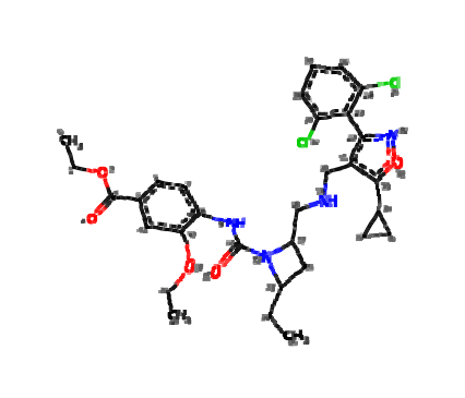 CCOC(=O)c1ccc(NC(=O)N2C(CC)CC2CNCc2c(-c3c(Cl)cccc3Cl)noc2C2CC2)c(OCC)c1